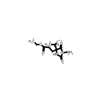 CCOC(=O)CCC1(C(C)C)NC(=O)N(N)C1=O